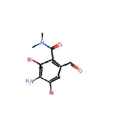 CN(C)C(=O)c1c(C=O)cc(Br)c(N)c1Br